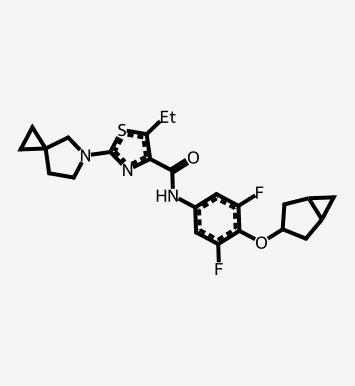 CCc1sc(N2CCC3(CC3)C2)nc1C(=O)Nc1cc(F)c(OC2CC3CC3C2)c(F)c1